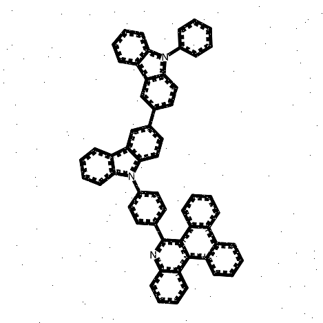 c1ccc(-n2c3ccccc3c3cc(-c4ccc5c(c4)c4ccccc4n5-c4ccc(-c5nc6ccccc6c6c7ccccc7c7ccccc7c56)cc4)ccc32)cc1